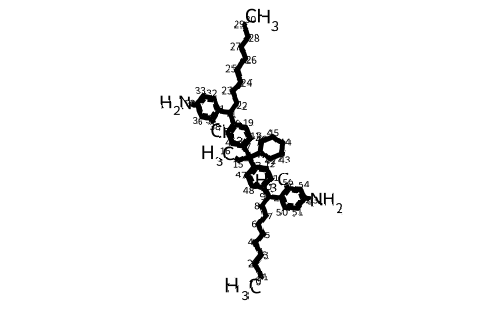 CCCCCCCCCC(c1ccc(C(CC)(c2ccc(C(CCCCCCCCC)c3ccc(N)cc3C)cc2)C2CCCCC2)cc1)c1ccc(N)cc1C